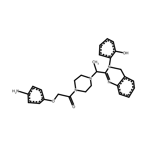 CC(C1=Nc2ccccc2CN1c1ccccc1O)N1CCN(C(=O)COc2ccc(N)cc2)CC1